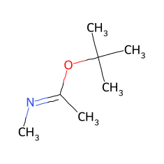 C/N=C(\C)OC(C)(C)C